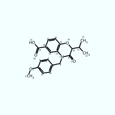 COc1ccc(CN2C(=O)C(C(C)C)Oc3ccc(C(=O)O)cc32)cc1